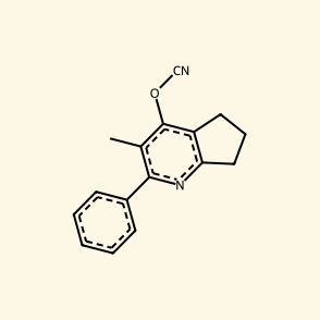 Cc1c(-c2ccccc2)nc2c(c1OC#N)CCC2